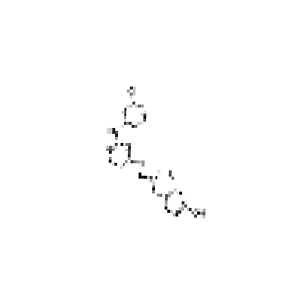 C/C(Cc1ccc(O)cc1)=N\N=C1/CCN=C(Nc2cccc(Cl)c2)S1